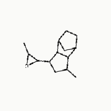 CC1CC(C2OC2C)C2C3CCC(C3)C12